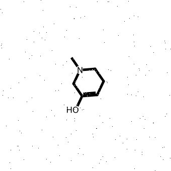 CN1CCC=C(O)C1